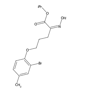 Cc1ccc(OCCC/C(=N/O)C(=O)OC(C)C)c(Br)c1